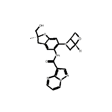 C[C@@]1(CO)Cc2cc(NC(=O)c3cnn4cccnc34)c(N3C[C@H]4OCC43)cc2O1